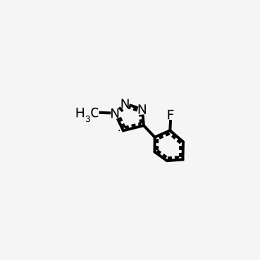 Cn1[c]c(-c2ccccc2F)nn1